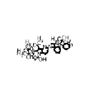 CC(C)c1c(B2OC(C)(C)C(C)(C)O2)n(C(=O)O)c2ccc(N3CC(O[Si](c4ccccc4)(c4ccccc4)C(C)(C)C)C3)nc12